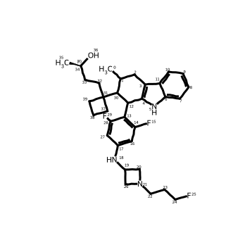 CC1Cc2c([nH]c3ccccc23)C(c2c(F)cc(NC3CN(CCCF)C3)cc2F)C1C1(CC[C@@H](C)O)CCC1